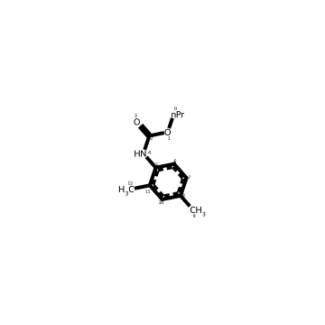 CCCOC(=O)Nc1ccc(C)cc1C